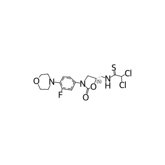 O=C1O[C@@H](CNC(=S)C(Cl)Cl)CN1c1ccc(N2CCOCC2)c(F)c1